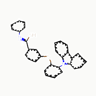 S/C(=N\c1ccccc1)c1cccc(Sc2ccccc2-n2c3ccccc3c3ccccc32)c1